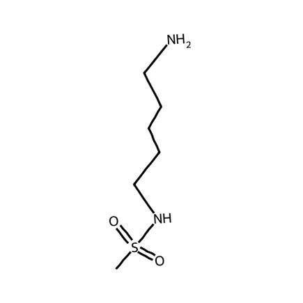 CS(=O)(=O)NCCCCCN